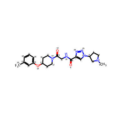 CN1CCC(n2cc(C(=O)NCC(=O)N3CCC(Oc4cccc(C(F)(F)F)c4)CC3)nn2)C1